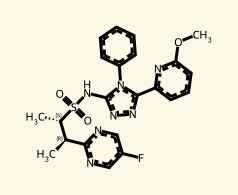 COc1cccc(-c2nnc(NS(=O)(=O)[C@@H](C)[C@H](C)c3ncc(F)cn3)n2-c2ccccc2)n1